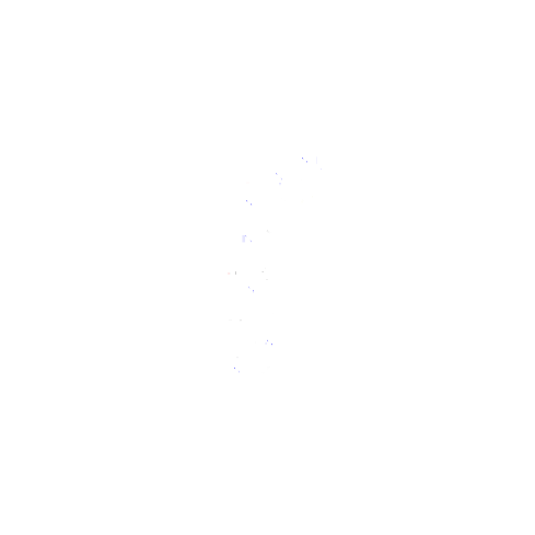 Nc1nc(C(=NO)C(=O)NC2C(=O)N3C(C(=O)[O-])=C(C[n+]4ccncc4)CS[C@@H]23)cs1